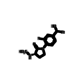 CCC(O)c1ccc(N2CC[C@H](NC(=O)O)C2=O)c(F)c1